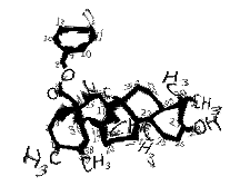 CC1CCC2(C(=O)OCc3ccccc3)CCC3(C)C(=CCC4C5(C)CCC(O)C(C)(C)C5CCC43C)C2C1C